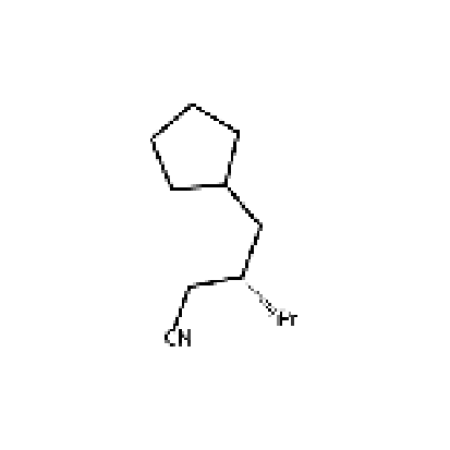 CC(C)[C@H](CC#N)CC1CCCC1